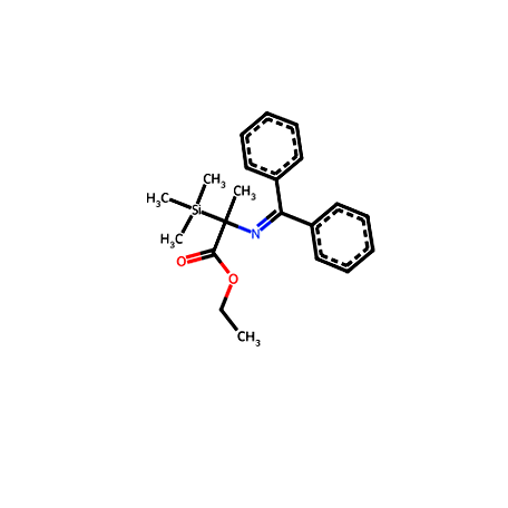 CCOC(=O)C(C)(N=C(c1ccccc1)c1ccccc1)[Si](C)(C)C